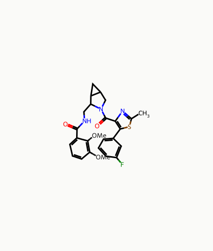 COc1cccc(C(=O)NCC2C3CC3CN2C(=O)c2nc(C)sc2-c2cccc(F)c2)c1OC